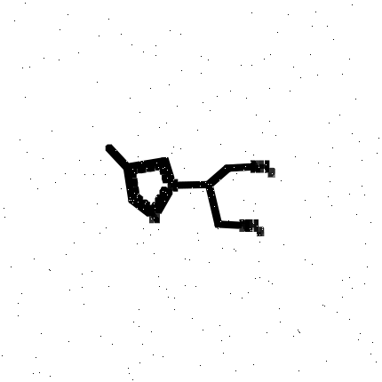 Cc1cnn(C(CN)CN)c1